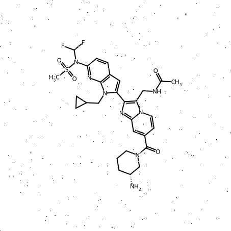 CC(=O)NCc1c(-c2cc3ccc(N(C(F)F)S(C)(=O)=O)nc3n2CC2CC2)nc2cc(C(=O)N3CCC[C@@H](N)C3)ccn12